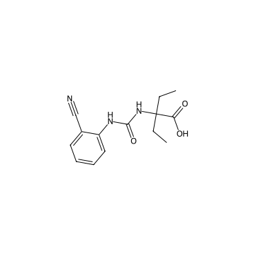 CCC(CC)(NC(=O)Nc1ccccc1C#N)C(=O)O